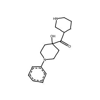 O=C(C1[CH]CCNC1)C1(O)CCN(c2ccccc2)CC1